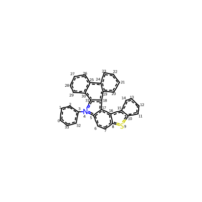 c1ccc(-n2c3ccc4sc5ccccc5c4c3c3c4ccccc4c4ccccc4c32)cc1